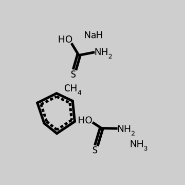 C.N.NC(O)=S.NC(O)=S.[NaH].c1ccccc1